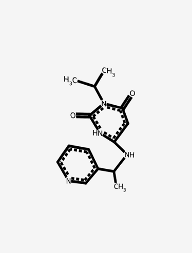 CC(Nc1cc(=O)n(C(C)C)c(=O)[nH]1)c1cccnc1